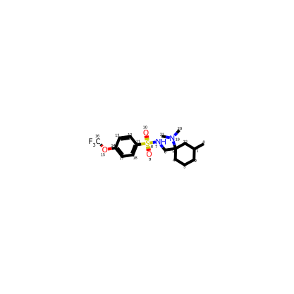 CC1CCCC(CNS(=O)(=O)c2ccc(OC(F)(F)F)cc2)(N(C)C)C1